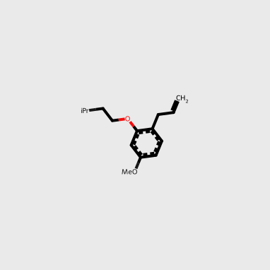 C=CCc1ccc(OC)cc1OCCC(C)C